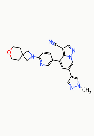 Cn1cc(-c2cc(-c3ccc(N4CC5(CCOCC5)C4)nc3)c3c(C#N)cnn3c2)cn1